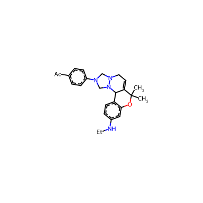 CCNc1ccc2c(c1)OC(C)(C)C1=CCN3CN(c4ccc(C(C)=O)cc4)CN3C12